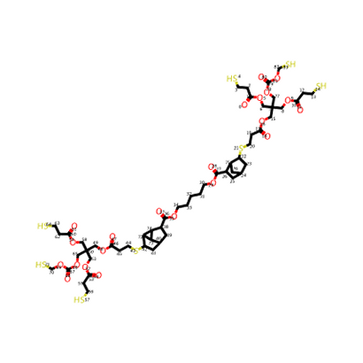 O=C(CCS)OCC(COC(=O)CCS)(COC(=O)CCSC1CC2CC(C(=O)OCCCCCOC(=O)C3CC4CC(SCCC(=O)OCC(COC(=O)CCS)(COC(=O)CCS)COC(=O)OCS)C5C4C35)C1C2)COC(=O)OCS